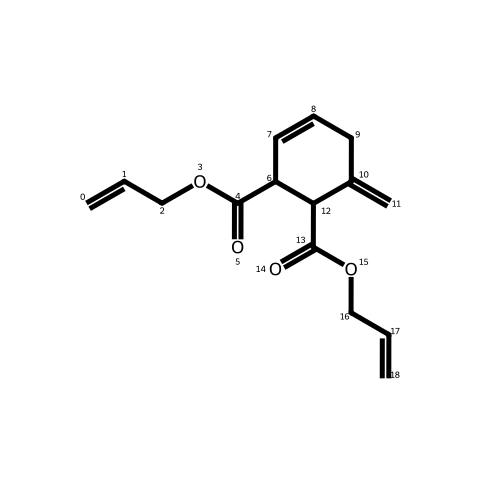 C=CCOC(=O)C1C=CCC(=C)C1C(=O)OCC=C